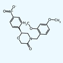 COc1ccc(CN2C[C@H](c3ccc([N+](=O)[O-])cc3)OCC2=O)c(OC)c1